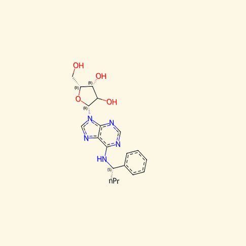 CCC[C@H](Nc1ncnc2c1ncn2[C@@H]1O[C@H](CO)[C@H](O)C1O)c1ccccc1